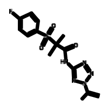 C=C(C)n1nnc(NC(=O)C(C)(C)S(=O)(=O)c2ccc(F)cc2)n1